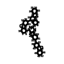 c1ccc(-c2nc(-c3cccc4oc5ccc(-c6ccc7sc8ccccc8c7c6)cc5c34)c3sc4cc(-c5ccc6c(c5)oc5ccccc56)ccc4c3n2)cc1